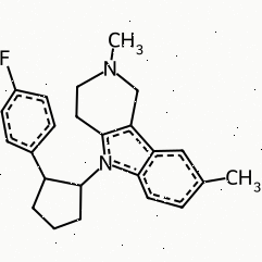 Cc1ccc2c(c1)c1c(n2C2CCCC2c2ccc(F)cc2)CCN(C)C1